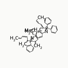 C=C/C=C\C(=C)P(=Nc1ccc(N=P(/C(C)=C/C=C\C)(c2ccccc2)c2ccccc2)cc1OC)(C(=C)/C=C\C=C)c1ccccc1